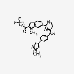 Cn1cc(-c2ccc(Nc3ccnc(-c4ccc5cc(C(=O)N6CC(F)(F)C6)n(C)c5c4)n3)cc2)cn1